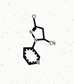 N#CC1CC(Cl)=NN1c1cccnc1